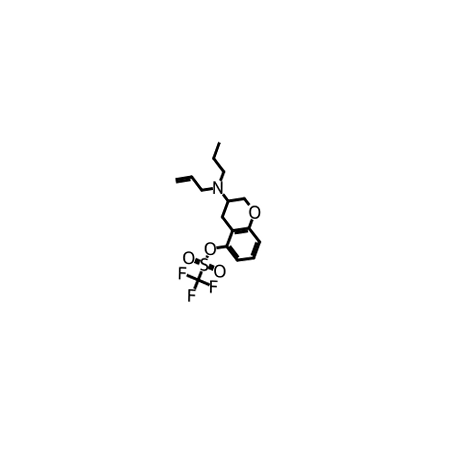 C=CCN(CCC)C1COc2cccc(OS(=O)(=O)C(F)(F)F)c2C1